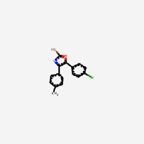 Cc1ccc(-c2nc(S)oc2-c2ccc(Br)cc2)cc1